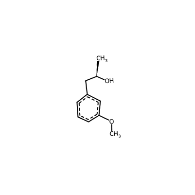 COc1cccc(C[C@@H](C)O)c1